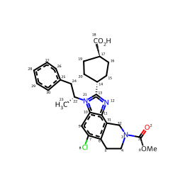 COC(=O)N1CCc2c(Cl)cc3c(nc([C@H]4CC[C@H](C(=O)O)CC4)n3[C@H](C)Cc3ccccc3)c2C1